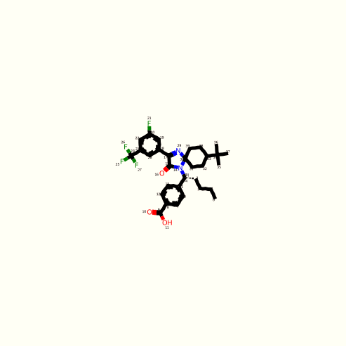 CCCC[C@H](c1ccc(C(=O)O)cc1)N1C(=O)C(c2cc(F)cc(C(F)(F)F)c2)=NC12CCC(C(C)(C)C)CC2